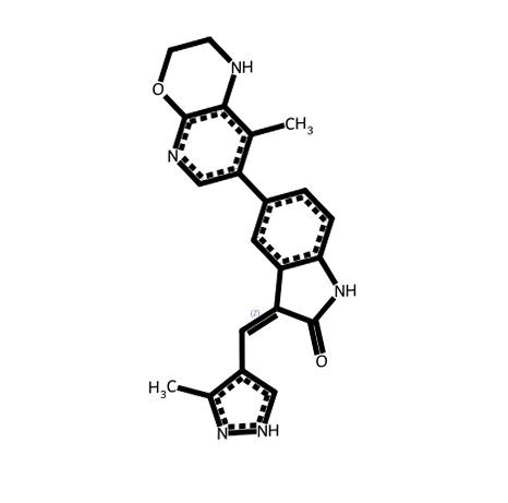 Cc1n[nH]cc1/C=C1\C(=O)Nc2ccc(-c3cnc4c(c3C)NCCO4)cc21